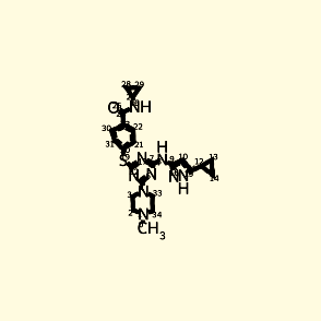 CN1CCN(c2nc(Nc3cc(C4CC4)[nH]n3)nc(Sc3ccc(C(=O)NC4CC4)cc3)n2)CC1